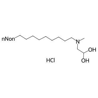 CCCCCCCCCCCCCCCCCCN(C)CC(O)O.Cl